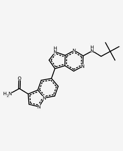 CC(C)(C)CNc1ncc2c(-c3ccn4ncc(C(N)=O)c4c3)c[nH]c2n1